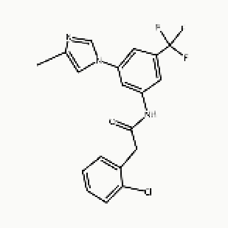 Cc1cn(-c2cc(NC(=O)Cc3ccccc3Cl)cc(C(F)(F)F)c2)cn1